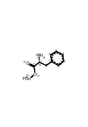 N[C@@H](Cc1ccccc1)C(=O)[O][SnH]